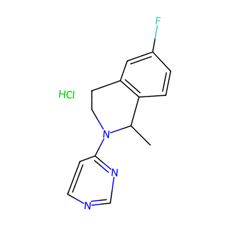 CC1c2ccc(F)cc2CCN1c1ccncn1.Cl